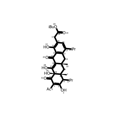 CC(=O)C1=C(O)C(C(C)C)[C@@]2(C)C[C@@]3(C)Cc4c(C(C)C)cc(CC(=O)OCC(C)C)c(O)c4C(=O)C3=C(O)[C@@]2(O)C1=O